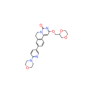 O=c1nc(OCC2COCCO2)cc2n1CCc1cc(-c3ccc(N4CCOCC4)nc3)ccc1-2